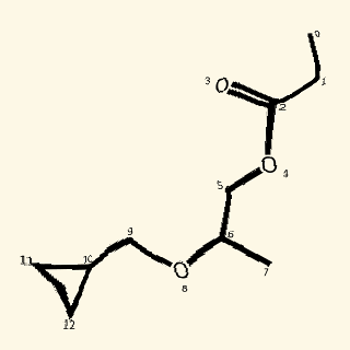 CCC(=O)OCC(C)OCC1CC1